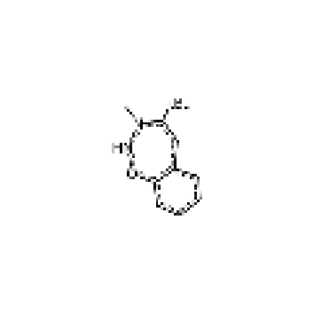 Cn1[nH]oc2ccccc2cc1C(C)(C)C